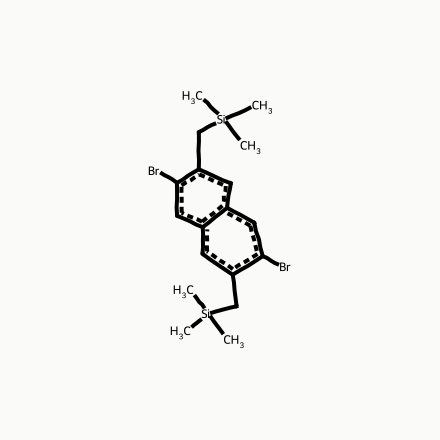 C[Si](C)(C)Cc1cc2cc(Br)c(C[Si](C)(C)C)cc2cc1Br